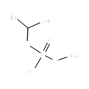 CCCCOP(=O)(O)OC(O)CC